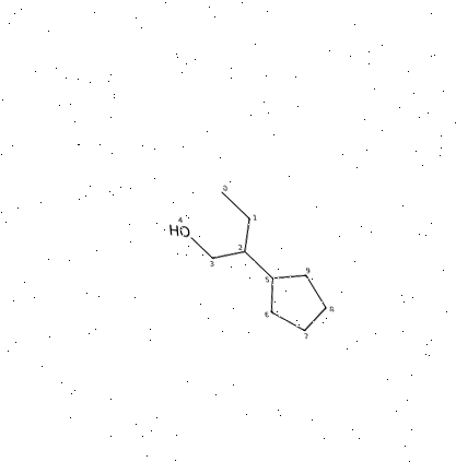 CCC(CO)C1CCCC1